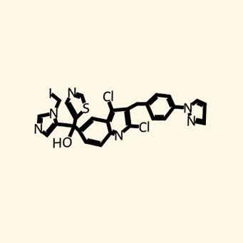 OC(c1ccc2nc(Cl)c(Cc3ccc(-n4cccn4)cc3)c(Cl)c2c1)(c1cncs1)c1cncn1CI